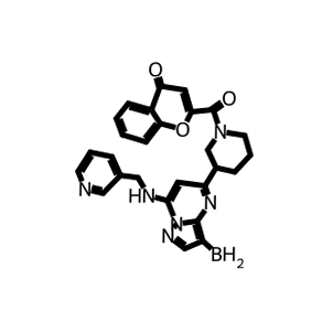 Bc1cnn2c(NCc3cccnc3)cc(C3CCCN(C(=O)c4cc(=O)c5ccccc5o4)C3)nc12